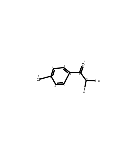 O=C(c1ccc(Cl)cc1)C(I)I